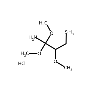 COC(C[SiH3])C(N)(OC)OC.Cl